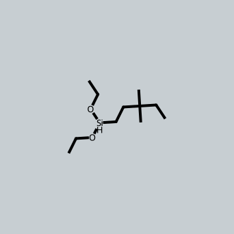 CCO[SiH](CCC(C)(C)CC)OCC